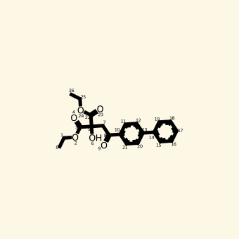 CCOC(=O)C(O)(CC(=O)c1ccc(-c2ccccc2)cc1)C(=O)OCC